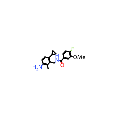 COc1cc(C(=O)NCc2c(C3CC3)ccc(N)c2C)ccc1F